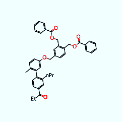 CCCc1cc(C(=O)CC)ccc1-c1cc(OCc2ccc(COC(=O)c3ccccc3)c(COC(=O)c3ccccc3)c2)ccc1C